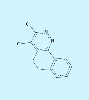 Clc1nnc2c(c1Cl)CCc1ccccc1-2